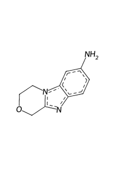 Nc1ccc2nc3n(c2c1)CCOC3